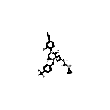 N#Cc1ccc(N2CC(=O)N(Cc3ccc(C(F)(F)F)cc3)[C@]3(C[C@H](NC(=O)NC4CC4)C3)C2=O)c(F)c1